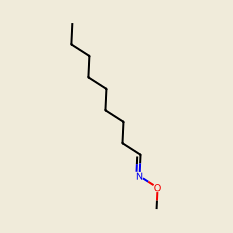 CCCCCCCC/C=N/OC